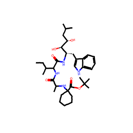 CCC(C)C(NC(=O)C(C)NC1(C(=O)OC(C)(C)C)CCCCC1)C(=O)N[C@@H](Cc1c[nH]c2ccccc12)[C@@H](O)[C@@H](O)CC(C)C